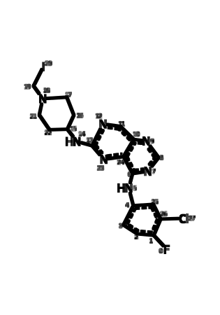 Fc1ccc(Nc2ncnc3cnc(NC4CCN(CI)CC4)nc23)cc1Cl